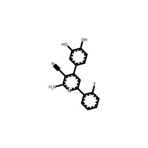 N#Cc1c(-c2ccc(O)c(O)c2)cc(-c2ccccc2F)nc1N